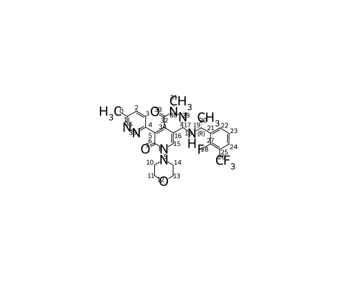 Cc1ccc(-c2c(=O)n(N3CCOCC3)cc3c(N[C@H](C)c4cccc(C(F)(F)F)c4F)nn(C)c(=O)c23)nn1